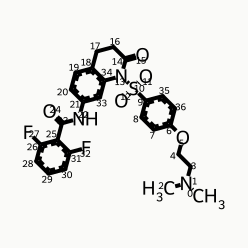 CN(C)CCOc1ccc(S(=O)(=O)N2C(=O)CCc3ccc(NC(=O)c4c(F)cccc4F)cc32)cc1